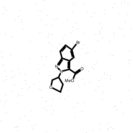 COC(=O)c1c2cc(Br)ccc2nn1C1CCOC1